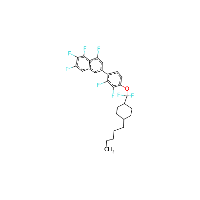 CCCCCC1CCC(C(F)(F)Oc2ccc(-c3cc(F)c4c(F)c(F)c(F)cc4c3)c(F)c2F)CC1